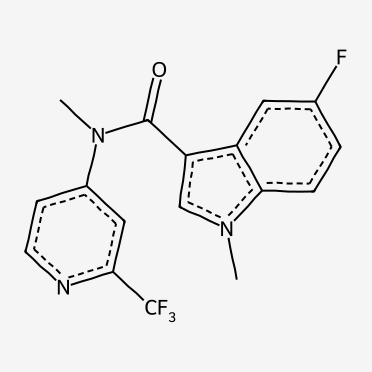 CN(C(=O)c1cn(C)c2ccc(F)cc12)c1ccnc(C(F)(F)F)c1